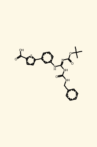 CC(C)(C)OC(=O)/N=C(\NC(=O)NCc1ccccc1)Nc1cccc(-c2ccc(C(=O)O)s2)c1